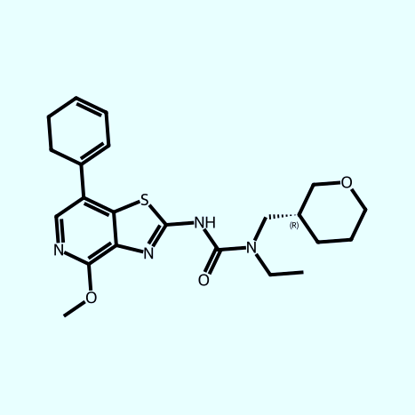 CCN(C[C@H]1CCCOC1)C(=O)Nc1nc2c(OC)ncc(C3=CC=CCC3)c2s1